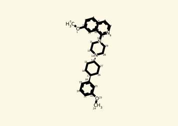 COc1ccc2ccnc(N3CCN([C@H]4CC[C@H](c5cccc(OC)c5)CC4)CC3)c2c1